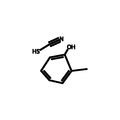 Cc1ccccc1O.N#CS